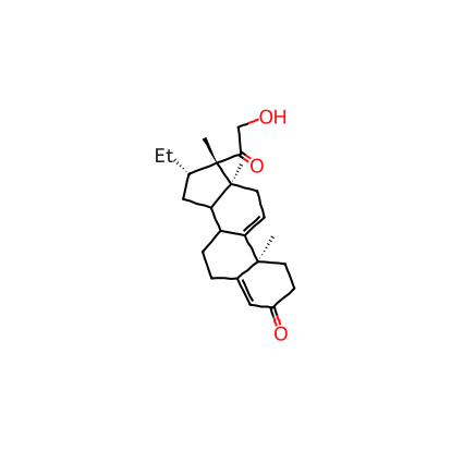 CC[C@H]1CC2C3CCC4=CC(=O)CC[C@]4(C)C3=CC[C@]2(C)[C@@]1(C)C(=O)CO